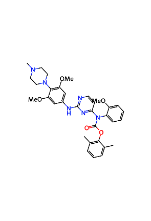 COc1ccccc1N(C(=O)Oc1c(C)cccc1C)c1ccnc(Nc2cc(OC)c(N3CCN(C)CC3)c(OC)c2)n1